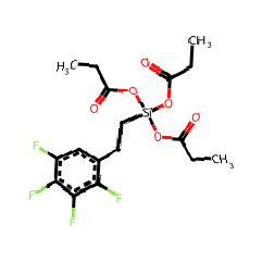 CCC(=O)O[Si](CCc1cc(F)c(F)c(F)c1F)(OC(=O)CC)OC(=O)CC